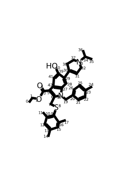 CCOC(=O)c1c(CSc2c(C)cc(C)cc2C)n(Cc2ccc(C)cc2)c2cc(C3=CCN(C(C)C)CC3)c(O)cc12